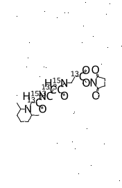 CC1CCCC(C)N1C[13C](=O)[15NH][13CH2][13CH2][13C](=O)[15NH]CC[13C](=O)ON1C(=O)CCC1=O